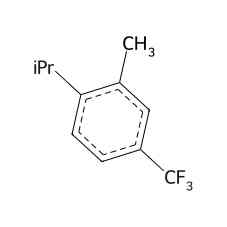 Cc1cc(C(F)(F)F)ccc1C(C)C